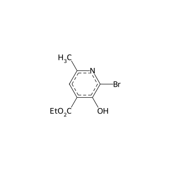 CCOC(=O)c1cc(C)nc(Br)c1O